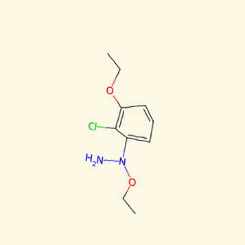 CCOc1cccc(N(N)OCC)c1Cl